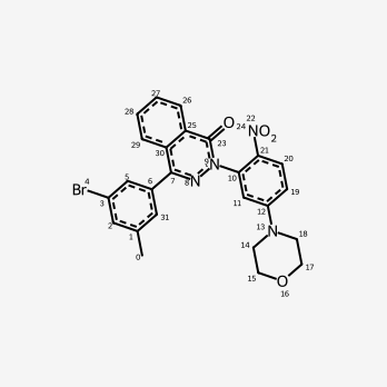 Cc1cc(Br)cc(-c2nn(-c3cc(N4CCOCC4)ccc3[N+](=O)[O-])c(=O)c3ccccc23)c1